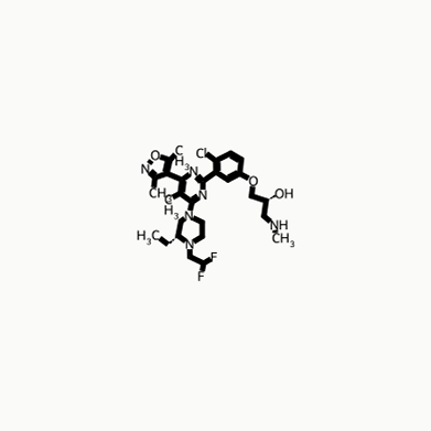 CC[C@@H]1CN(c2nc(-c3cc(OC[C@H](O)CNC)ccc3Cl)nc(-c3c(C)noc3C)c2C)CCN1CC(F)F